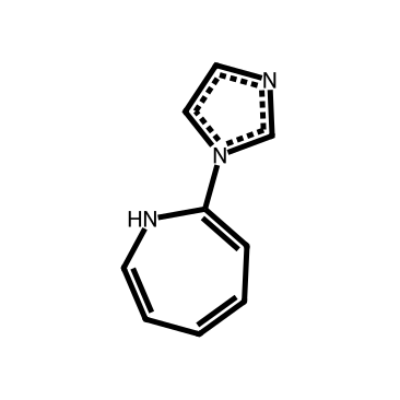 C1=CC=C(n2ccnc2)NC=C1